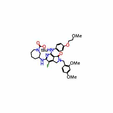 COCCOc1ccc(Nc2nc(NC3CCCCN(C(=O)OC(C)(C)C)C3)c(F)c3c2C(=O)N(Cc2ccc(OC)cc2OC)C3)cc1